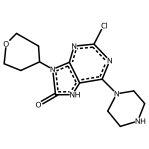 O=c1[nH]c2c(N3CCNCC3)nc(Cl)nc2n1C1CCOCC1